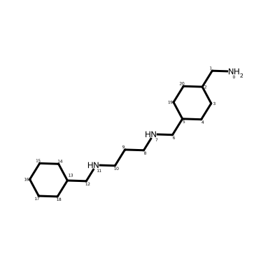 NCC1CCC(CNCCCNCC2CCCCC2)CC1